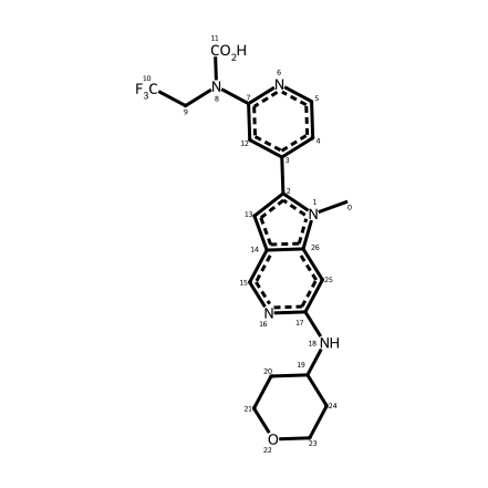 Cn1c(-c2ccnc(N(CC(F)(F)F)C(=O)O)c2)cc2cnc(NC3CCOCC3)cc21